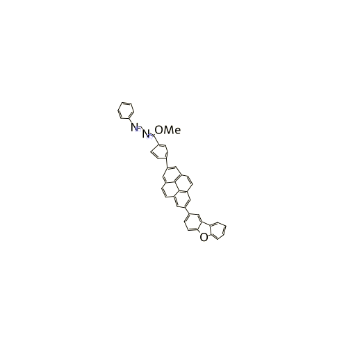 CO/C(=N\C=N\c1ccccc1)c1ccc(-c2cc3ccc4cc(-c5ccc6oc7ccccc7c6c5)cc5ccc(c2)c3c45)cc1